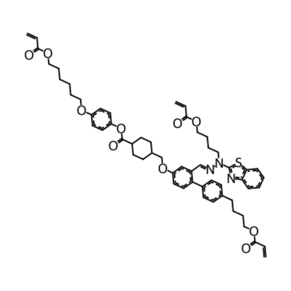 C=CC(=O)OCCCCCCOc1ccc(OC(=O)C2CCC(COc3ccc(-c4ccc(CCCCOC(=O)C=C)cc4)c(/C=N/N(CCCCOC(=O)C=C)c4nc5ccccc5s4)c3)CC2)cc1